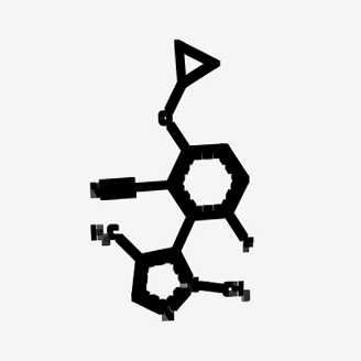 Cc1cnn(C)c1-c1c(F)ccc(OC2CC2)c1C#N